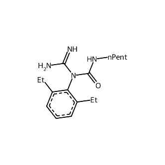 CCCCCNC(=O)N(C(=N)N)c1c(CC)cccc1CC